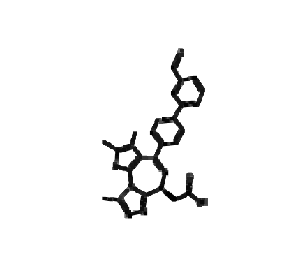 Cc1sc2c(c1C)C(c1ccc(-c3cccc(C=O)c3)cc1)=N[C@@H](CC(=O)O)c1nnc(C)n1-2